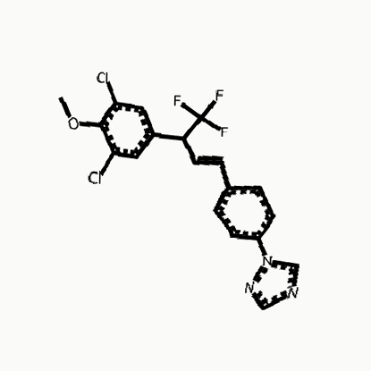 COc1c(Cl)cc(C(/C=C/c2ccc(-n3cncn3)cc2)C(F)(F)F)cc1Cl